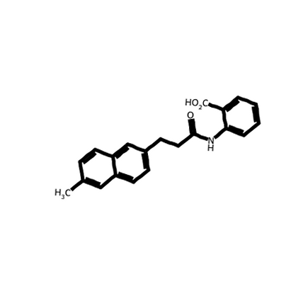 Cc1ccc2cc(CCC(=O)Nc3ccccc3C(=O)O)ccc2c1